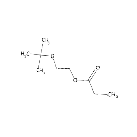 CCC(=O)OCCOC(C)(C)C